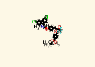 CN(CCOc1ccc(CC(OCc2ccc(C(=O)OC(C)(C)C)cc2)C(=O)C(F)(F)F)cc1)C(C)(c1ccc(Cl)cc1)c1ccc(Cl)cc1